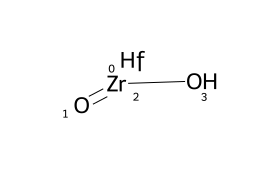 [Hf].[O]=[Zr][OH]